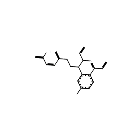 C=CC1=NC(C=C)C(CCC(=C)/C=C\C(=C)O)c2cc(C)ccc21